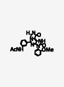 COc1ccccc1-n1c(=O)[nH]c2c(C(N)=O)nc(-c3cccc(NC(C)=O)c3)nc21